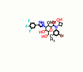 COC1C(C(=O)N(c2cc(C)cc(Br)c2)[C@H]2CC[C@@H]2O)OC(CO)C(O)C1n1cc(-c2cc(F)c(F)c(F)c2)nn1